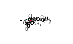 COC(=O)C(c1ccc(Cl)cc1)(c1ccc(Cl)cc1)c1ccc(N)c(NCC2(O)CCN(C(=O)OC(C)(C)C)CC2)c1